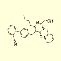 CCCCc1nc(CO)n(CC2=NCCC=C2)c(=O)c1Cc1ccc(-c2ccccc2C#N)cc1